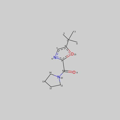 CC(C)(C)c1cnc(C(=O)N2CCCC2)o1